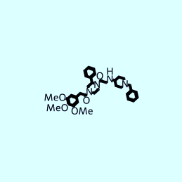 COc1cc(CC(=O)N2CCN(C(=O)CNC3CCN(Cc4ccccc4)CC3)C(c3ccccc3)C2)cc(OC)c1OC